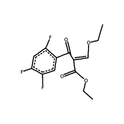 CCO/C=C(/C(=O)OCC)C(=O)c1cc(F)c(F)cc1F